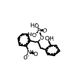 O=[N+]([O-])c1ccccc1C(Cc1ccccc1O)OP(=O)(O)O